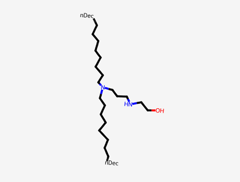 CCCCCCCCCCCCCCCCCCN(CCCCCCCCCCCCCCCCCC)CCCNCCO